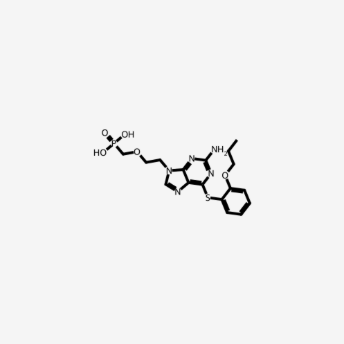 CCCOc1ccccc1Sc1nc(N)nc2c1ncn2CCOCP(=O)(O)O